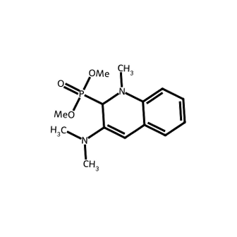 COP(=O)(OC)C1C(N(C)C)=Cc2ccccc2N1C